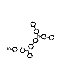 Oc1ccc(-c2ccc(N(c3ccccc3)c3ccc(-c4ccc(N(c5ccc(-c6ccccc6)cc5)c5ccc(-c6ccccc6)cc5)cc4)cc3)cc2)cc1